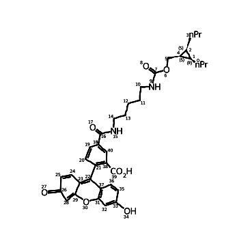 CCC[C@@H]1[C@H](CCC)[C@@H]1COC(=O)NCCCCCNC(=O)c1ccc(-c2c3ccc(=O)cc-3oc3cc(O)ccc23)c(C(=O)O)c1